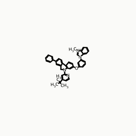 C[n+]1cn(-c2cccc(Oc3ccc4c(c3)N(c3cc(C(C)(C)C)ccn3)Cc3cc(-c5ccccc5)ccc3-4)c2)c2ccccc21